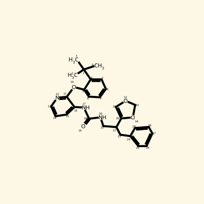 CC(C)(C)c1ccccc1Oc1ncccc1NC(=O)NCC(Cc1ccccc1)C1=COCO1